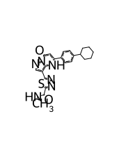 CNC(=O)c1nnc(-c2cnn3c(=O)cc(-c4ccc(C5CCCCC5)cc4)[nH]c23)s1